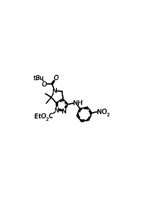 CCOC(=O)n1nc(Nc2cccc([N+](=O)[O-])c2)c2c1C(C)(C)N(C(=O)OC(C)(C)C)C2